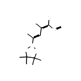 C=N/C(N)=C(Cl)\C=C(/C)B1OC(C)(C)C(C)(C)O1